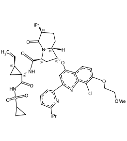 C=C[C@@H]1C[C@]1(NC(=O)[C@@H]1C[C@@H](Oc2cc(-c3cccc(C(C)C)n3)nc3c(Cl)c(OCCOC)ccc23)[C@H]2CC[C@H](C(C)C)C(=O)N21)C(=O)NS(=O)(=O)C1CC1